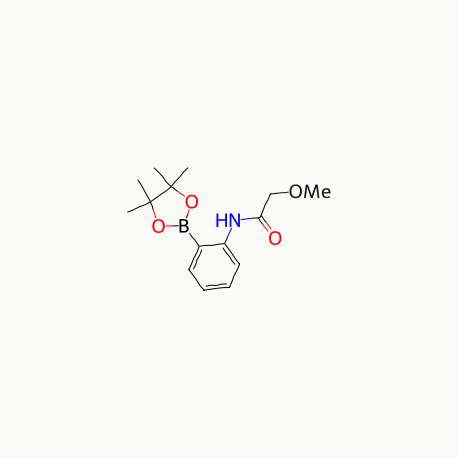 COCC(=O)Nc1ccccc1B1OC(C)(C)C(C)(C)O1